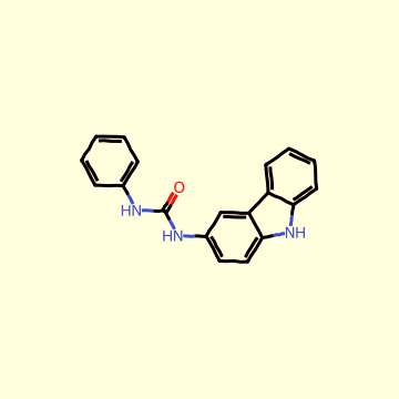 O=C(Nc1ccccc1)Nc1ccc2[nH]c3ccccc3c2c1